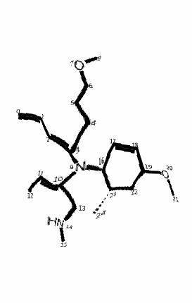 C=C/C=C(\CCCOC)N(/C(=C/C)CNC)[C@H]1C=CC(OC)C[C@@H]1C